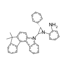 CC1(C)c2ccccc2-c2c1ccc1c2c2ccccc2n1C1[C@H](c2ccccc2)N1c1ccccc1N